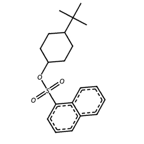 CC(C)(C)C1CCC(OS(=O)(=O)c2cccc3ccccc23)CC1